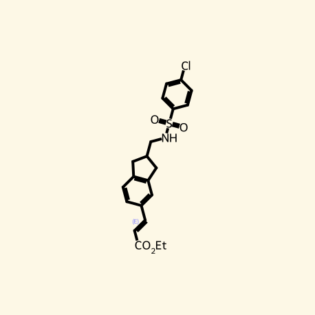 CCOC(=O)/C=C/c1ccc2c(c1)CC(CNS(=O)(=O)c1ccc(Cl)cc1)C2